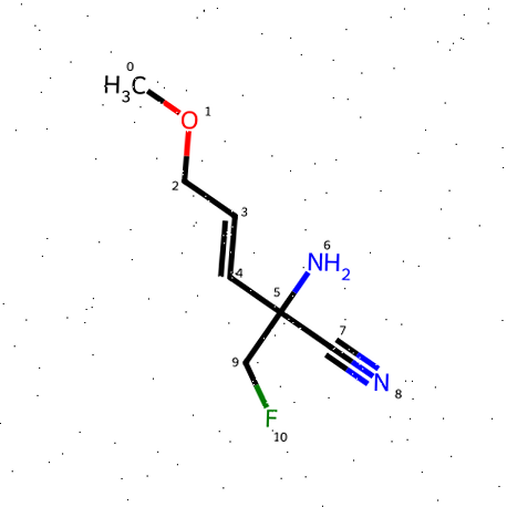 COC/C=C/C(N)(C#N)CF